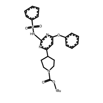 CC(C)(C)OC(=O)N1CCC(c2cc(Oc3ccccc3)nc(NS(=O)(=O)c3ccccc3)n2)CC1